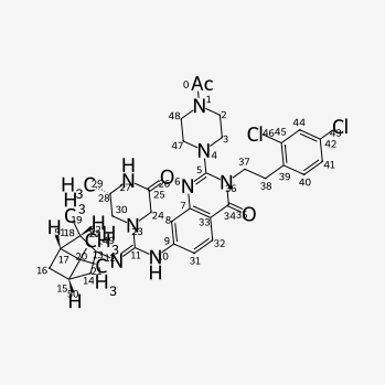 CC(=O)N1CCN(c2nc3cc(N/C(=N/[C@H]4C[C@@H]5C[C@H]([C@@H]4C)C5(C)C)N4CC(=O)N[C@@H](C)C4)ccc3c(=O)n2CCc2ccc(Cl)cc2Cl)CC1